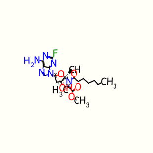 C#C[C@@]1(N(C(=O)CCCCCC)[C@@H](C)C(=O)OC)O[C@@H](n2cnc3c(N)nc(F)nc32)C[C@@H]1O